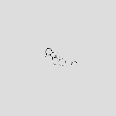 COc1cccc2[nH]c3c(c12)CCN1CC[C@H](CC(=O)C=O)C[C@@H]31